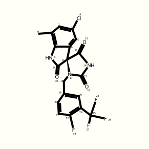 Cc1cc(Cl)cc2c1NC(=O)[C@@]21C(=O)NC(=O)N1Cc1ccc(F)c(C(F)(F)F)c1